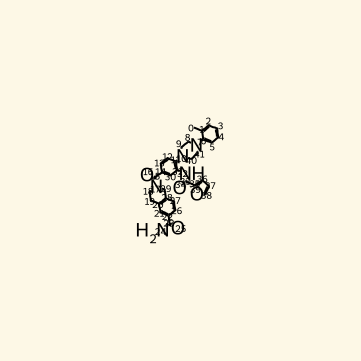 Cc1ccccc1N1CCN(c2ccc(C(=O)N3CCc4cc(C(N)=O)ccc4C3)cc2NC(=O)c2ccco2)CC1